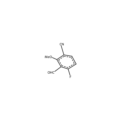 COc1c(C#N)ccc(F)c1C=O